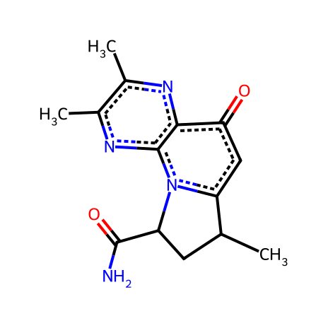 Cc1nc2c(=O)cc3n(c2nc1C)C(C(N)=O)CC3C